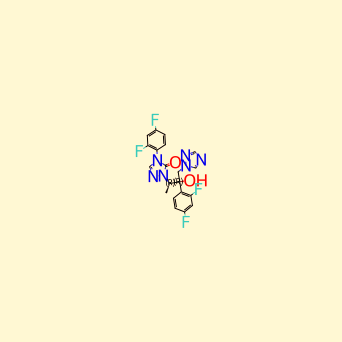 C[C@@H](n1ncn(-c2ccc(F)cc2F)c1=O)[C@](O)(Cn1cncn1)c1ccc(F)cc1F